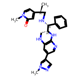 C[C@@H](CN[C@H](c1ccccc1)[C@H]1CNc2cc(-c3cnn(C)c3)cnc2N1)c1ccn(C)c(=O)c1